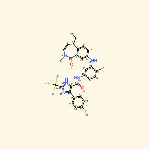 CCC1C=CN(C)C(=O)c2cc(Nc3cc(NC(=O)c4[nH]c(C(F)(F)F)nc4-c4ccc(F)cc4)ccc3C)ccc21